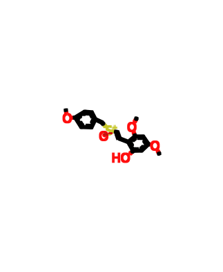 COc1ccc(C[S+]([O-])C=Cc2c(O)cc(OC)cc2OC)cc1